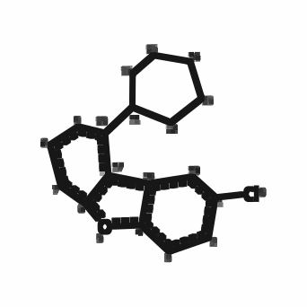 Clc1ccc2oc3cccc(C4CCCCC4)c3c2c1